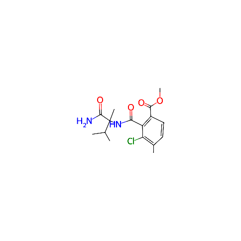 COC(=O)c1ccc(C)c(Cl)c1C(=O)NC(C)(C(N)=O)C(C)C